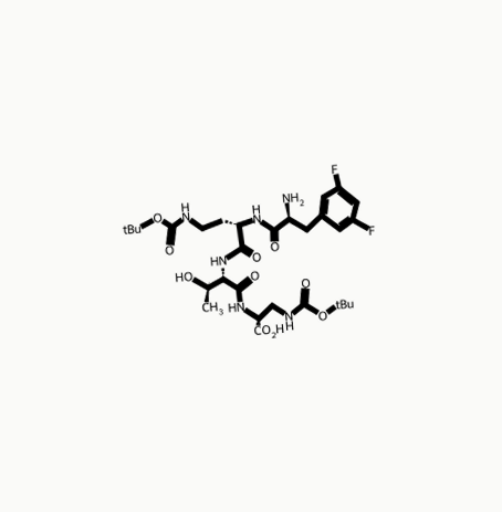 C[C@@H](O)[C@H](NC(=O)[C@H](CCNC(=O)OC(C)(C)C)NC(=O)[C@@H](N)Cc1cc(F)cc(F)c1)C(=O)N[C@@H](CNC(=O)OC(C)(C)C)C(=O)O